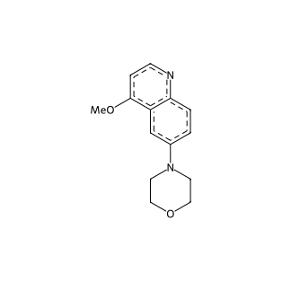 COc1ccnc2ccc(N3CCOCC3)cc12